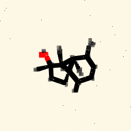 CC(C)C1CCC(C)[C@@]23CC[C@](C)(O)[C@@H]2[C@@H]13